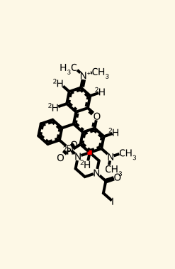 [2H]c1c2c(-c3ccccc3S(=O)(=O)N3CCN(C(=O)CI)CC3)c3c([2H])c([2H])c(N(C)C)c([2H])c3oc-2c([2H])c(=[N+](C)C)c1[2H]